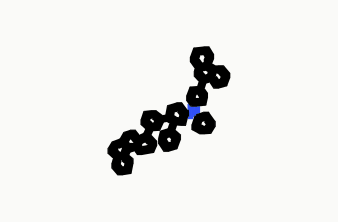 c1ccc(-c2cc(N(c3ccccc3)c3ccc(-c4cc5ccccc5c5ccccc45)cc3)ccc2-c2cccc(-c3cccc4c3ccc3ccc5ccccc5c34)c2)cc1